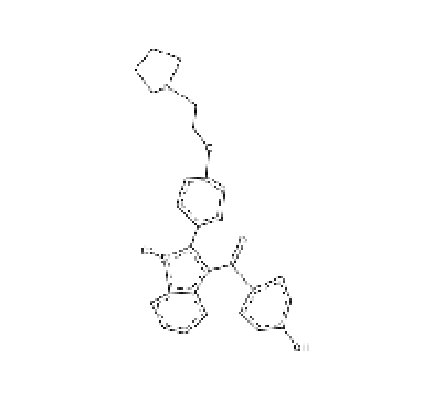 O=C(c1ccc(O)cc1)c1c(-c2ccc(OCCN3CCCC3)cc2)[s+]([O-])c2ccccc12